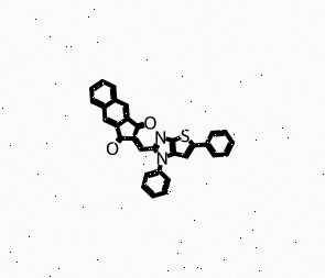 O=C1C(=Cc2nc3sc(-c4ccccc4)cc3n2-c2ccccc2)C(=O)c2cc3ccccc3cc21